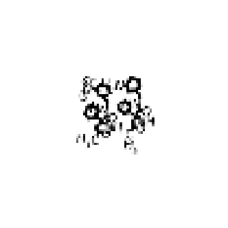 CC1=CC(C(=O)NCc2cccc(N)c2)(c2ccccc2)NO1.CC1=CC(C(=O)NCc2cccc([N+](=O)[O-])c2)(c2ccccc2)NO1